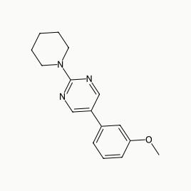 COc1cccc(-c2cnc(N3CCCCC3)nc2)c1